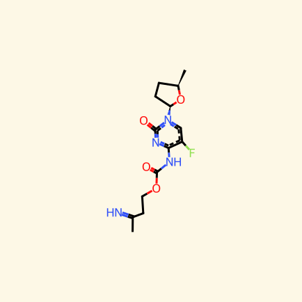 CC(=N)CCOC(=O)Nc1nc(=O)n([C@H]2CC[C@@H](C)O2)cc1F